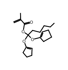 C=C(C)C(=O)OC(CCCCC)(OC1=CCCC1)OC1=CCCC1